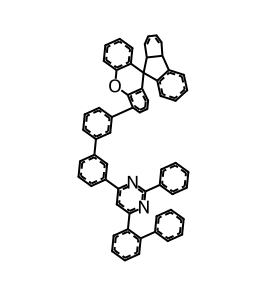 C1=CC2c3ccccc3C3(c4ccccc4Oc4c(-c5cccc(-c6cccc(-c7cc(-c8ccccc8-c8ccccc8)nc(-c8ccccc8)n7)c6)c5)cccc43)C2C=C1